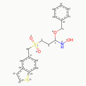 O=S(=O)(CCC(NO)OCc1ccccc1)Cc1ccc2sccc2c1